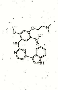 COc1cc(OCCN(C)C)c([N+](=O)[O-])cc1Nc1nccc(-c2c[nH]c3ccccc23)n1